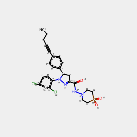 N#CCCC#Cc1ccc([C@H]2CC(C(=O)NN3CCS(=O)(=O)CC3)=NN2c2ccc(Cl)cc2Cl)cc1